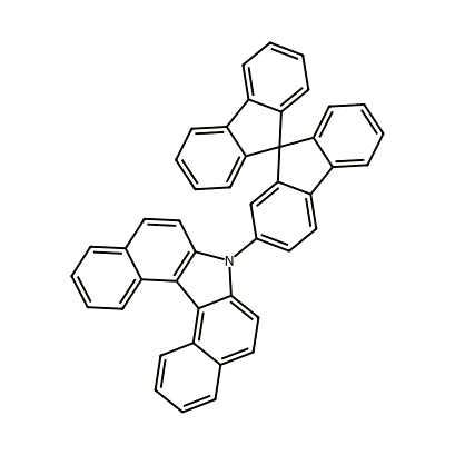 c1ccc2c(c1)-c1ccccc1C21c2ccccc2-c2ccc(-n3c4ccc5ccccc5c4c4c5ccccc5ccc43)cc21